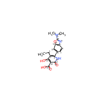 CCc1c(-c2ccc3nc(N(C)C)oc3c2)[nH]c(=O)c(C(=O)O)c1O